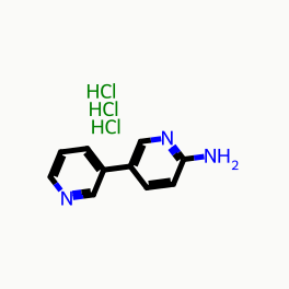 Cl.Cl.Cl.Nc1ccc(-c2cccnc2)cn1